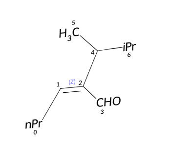 CCC/C=C(\C=O)C(C)C(C)C